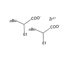 CCCCC(CC)C(=O)[O-].CCCCC(CC)C(=O)[O-].[Zr+2]